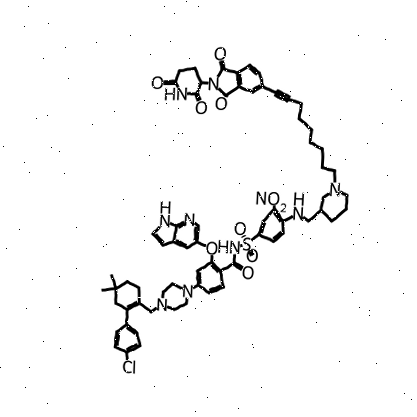 CC1(C)CCC(CN2CCN(c3ccc(C(=O)NS(=O)(=O)c4ccc(NCC5CCCN(CCCCCCCC#Cc6ccc7c(c6)C(=O)N(C6CCC(=O)NC6=O)C7=O)C5)c([N+](=O)[O-])c4)c(Oc4cnc5[nH]ccc5c4)c3)CC2)=C(c2ccc(Cl)cc2)C1